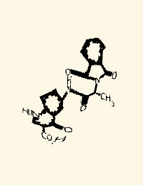 C[C@@H](C(=O)Nc1ccc2[nH]cc(C(=O)O)c(=O)c2c1)N1C(=O)c2ccccc2C1=O